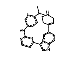 CN(C)c1ccc(Nc2nccc(-c3cnc4ccc(C5=CCNCC5)cn34)n2)cn1